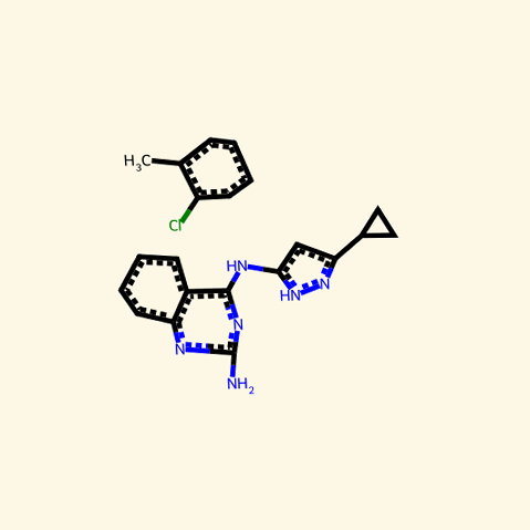 Cc1ccccc1Cl.Nc1nc(Nc2cc(C3CC3)n[nH]2)c2ccccc2n1